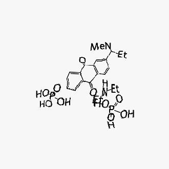 CCC(NC)c1ccc2c(c1)C(=O)c1ccccc1C2=O.CCNCC.O=P(O)(O)O.O=P(O)(O)O